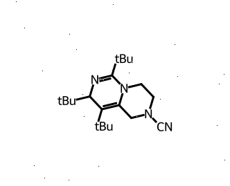 CC(C)(C)C1=NC(C(C)(C)C)C(C(C)(C)C)=C2CN(C#N)CCN12